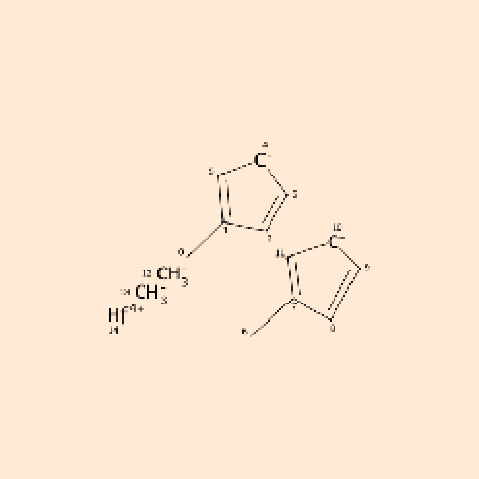 Cc1cc[cH-]c1.Cc1cc[cH-]c1.[CH3-].[CH3-].[Hf+4]